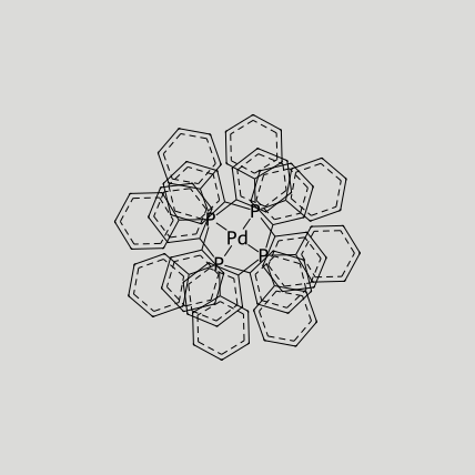 c1ccc([P](c2ccccc2)(c2ccccc2)(c2ccccc2)[Pd]([P](c2ccccc2)(c2ccccc2)(c2ccccc2)c2ccccc2)([P](c2ccccc2)(c2ccccc2)(c2ccccc2)c2ccccc2)[P](c2ccccc2)(c2ccccc2)(c2ccccc2)c2ccccc2)cc1